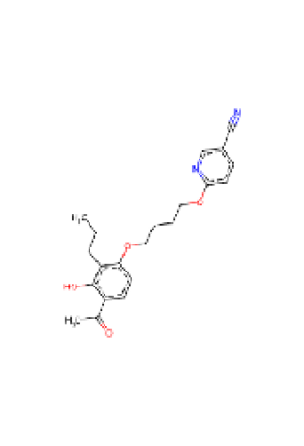 CCCc1c(OCCCCOc2ccc(C#N)cn2)ccc(C(C)=O)c1O